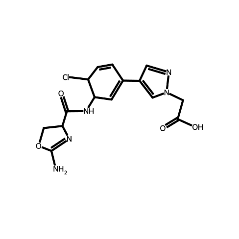 NC1=NC(C(=O)NC2C=C(c3cnn(CC(=O)O)c3)C=CC2Cl)CO1